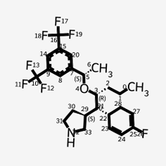 CCC[C@@H](O[C@@H](C)c1cc(C(F)(F)F)cc(C(F)(F)F)c1)[C@H](C1C=CC(F)=CC1)[C@@H]1CCNC1